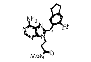 CCc1cc2c(cc1Sc1nc3c(N)ncnc3n1CCC(=O)NC)CCC2